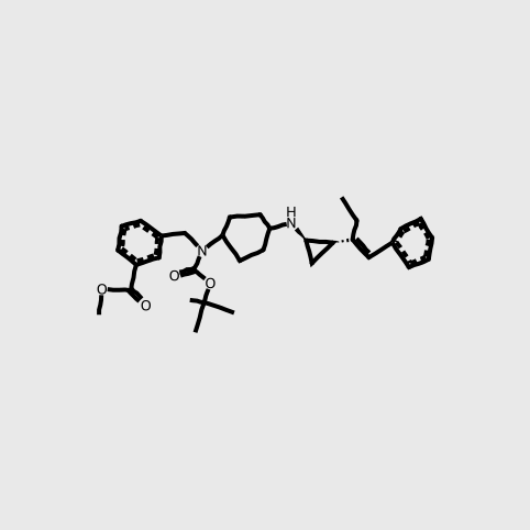 CC/C(=C\c1ccccc1)[C@@H]1C[C@H]1NC1CCC(N(Cc2cccc(C(=O)OC)c2)C(=O)OC(C)(C)C)CC1